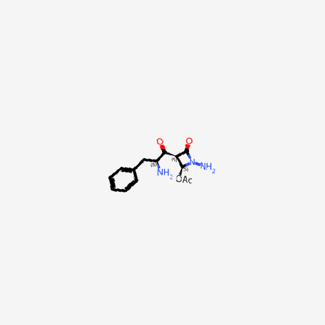 CC(=O)O[C@H]1[C@@H](C(=O)[C@@H](N)Cc2ccccc2)C(=O)N1N